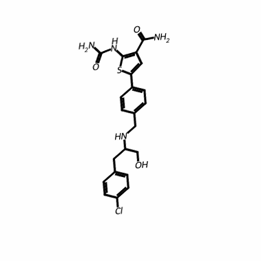 NC(=O)Nc1sc(-c2ccc(CNC(CO)Cc3ccc(Cl)cc3)cc2)cc1C(N)=O